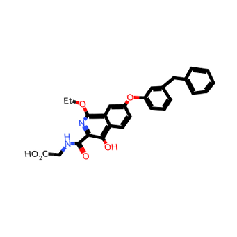 CCOc1nc(C(=O)NCC(=O)O)c(O)c2ccc(Oc3cccc(Cc4ccccc4)c3)cc12